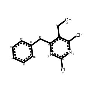 OCc1c(Cl)nc(Cl)nc1Cc1ccccc1